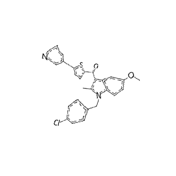 COc1ccc2c(c1)c(C(=O)c1ccc(-c3cccnc3)s1)c(C)n2Cc1ccc(Cl)cc1